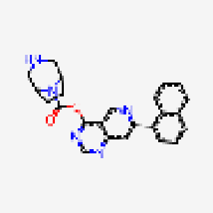 O=C(Oc1ncnc2cc(-c3cccc4ccccc34)ncc12)N1C2CCC1CNC2